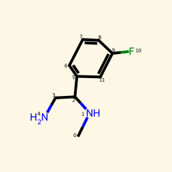 CNC(CN)c1cccc(F)c1